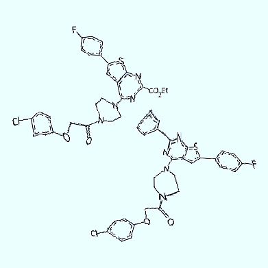 CCOC(=O)c1nc(N2CCN(C(=O)COc3ccc(Cl)cc3)CC2)c2cc(-c3ccc(F)cc3)sc2n1.O=C(COc1ccc(Cl)cc1)N1CCN(c2nc(-c3ccccc3)nc3sc(-c4ccc(F)cc4)cc23)CC1